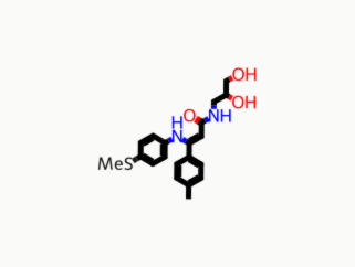 CSc1ccc(N/C(=C\C(=O)NCC(O)CO)c2ccc(C)cc2)cc1